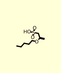 C=C(CS(=O)(=O)O)OCCCCC